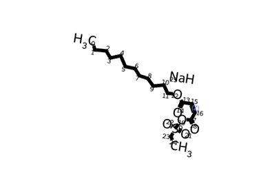 CCCCCCCCCCCCOC(=O)/C=C\C(=O)OS(=O)(=O)CC.[NaH]